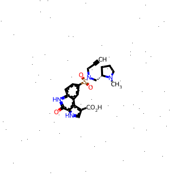 C#CCN(C[C@@H]1CCCN1C)S(=O)(=O)c1ccc2[nH]c(=O)c3[nH]cc(C(=O)O)c3c2c1